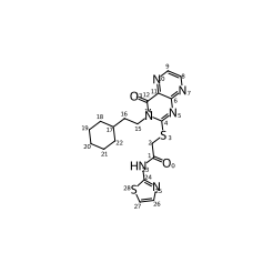 O=C(CSc1nc2nccnc2c(=O)n1CCC1CCCCC1)Nc1nccs1